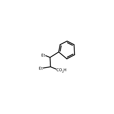 [CH2]CC(C(=O)O)C(CC)c1ccccc1